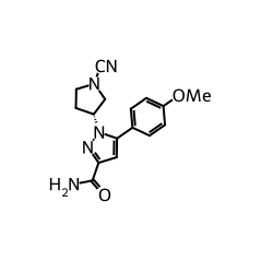 COc1ccc(-c2cc(C(N)=O)nn2[C@@H]2CCN(C#N)C2)cc1